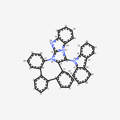 c1ccc2c(c1)-c1ccccc1-c1c(-n3c4ccccc4c4ccccc43)n3c4ccccc4nc3n1-c1ccccc1-2